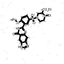 CCCOc1ccc(S(=O)(=O)N2CCN(CC)C(C(=O)OCC)C2)cc1-c1nc2cc3nc[nH]c3cc2c(=O)[nH]1